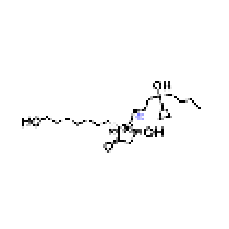 CCCCC(O)(C/C=C/[C@H]1[C@H](O)CC(=O)[C@@H]1CCCCCCCO)C1CC1